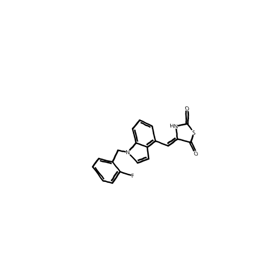 O=C1NC(=Cc2cccc3c2ccn3Cc2ccccc2F)C(=O)S1